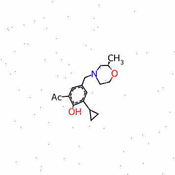 CC(=O)c1cc(CN2CCO[C@H](C)C2)cc(C2CC2)c1O